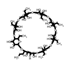 CCCC1OC2OC(CC)C(OC3OC(CC)C(OC4OC(CC)C(OC5OC(CC)C(OC6OC(CC)C(OC7OC(CC)C(OC8OC(CC)C(OC(O)/C(O)=C\1O)C(O)C8O)C(O)C7O)C(O)C6O)C(O)C5O)C(O)C4O)C(O)C3O)C(O)C2O